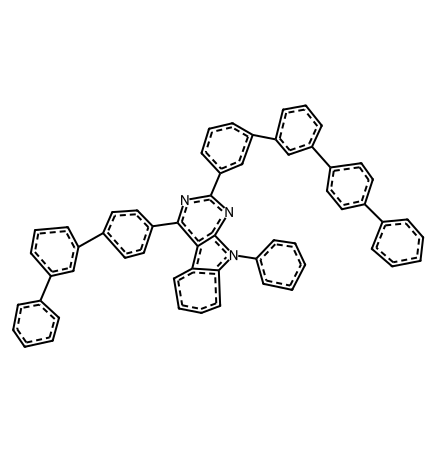 c1ccc(-c2ccc(-c3cccc(-c4cccc(-c5nc(-c6ccc(-c7cccc(-c8ccccc8)c7)cc6)c6c7ccccc7n(-c7ccccc7)c6n5)c4)c3)cc2)cc1